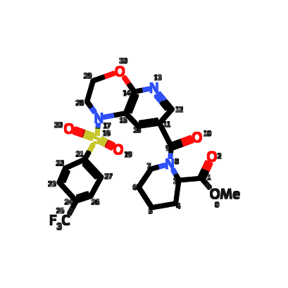 COC(=O)C1CCCCN1C(=O)c1cnc2c(c1)N(S(=O)(=O)c1ccc(C(F)(F)F)cc1)CCO2